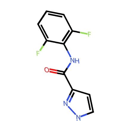 O=C(Nc1c(F)cccc1F)c1cc[nH]n1